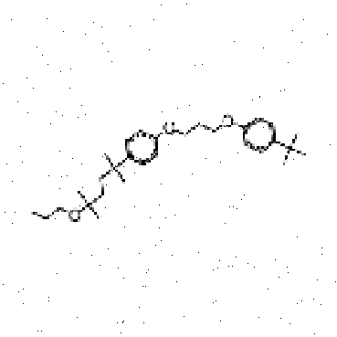 CCCOC(C)(C)CCC(C)(C)c1ccc(OCCCOc2ccc(C(C)(C)C)cc2)cc1